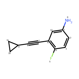 Nc1ccc(F)c(C#CC2CC2)c1